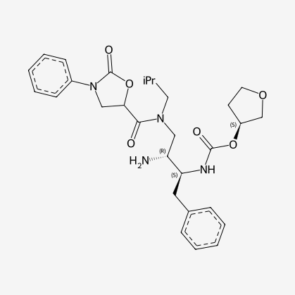 CC(C)CN(C[C@@H](N)[C@H](Cc1ccccc1)NC(=O)O[C@H]1CCOC1)C(=O)C1CN(c2ccccc2)C(=O)O1